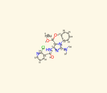 CCCCOC(=O)c1c(NC(=O)c2cccnc2Cl)nc(N(C)C)n1-c1ccccc1